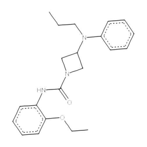 CCCN(c1ccccc1)C1CN(C(=O)Nc2ccccc2OCC)C1